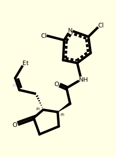 CC/C=C\C[C@H]1C(=O)CC[C@@H]1CC(=O)Nc1cc(Cl)nc(Cl)c1